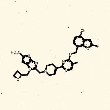 O=C(O)c1cc2c(nc(CN3CC=C(c4ncc(F)c(OCc5ccc(Cl)c6cc(F)oc56)n4)CC3)n2CC2CCO2)s1